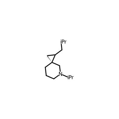 CC(C)CC1C[C@]12CCCN(C(C)C)C2